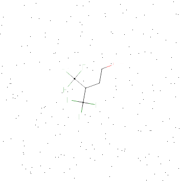 OCCC(C(F)(F)F)C(F)(F)F